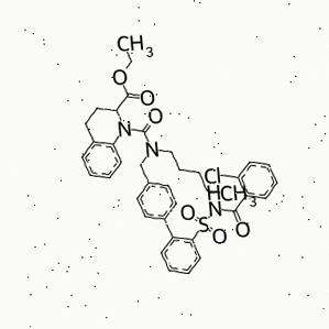 CCCCCN(Cc1ccc(-c2ccccc2S(=O)(=O)NC(=O)c2ccccc2Cl)cc1)C(=O)N1c2ccccc2CCC1C(=O)OCC